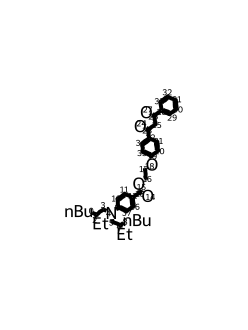 CCCCC(CC)CN(CC(CC)CCCC)c1ccc(C(=O)OCCOc2ccc(C(=O)CC(=O)c3ccccc3)cc2)cc1